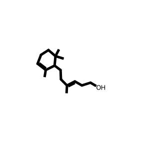 CC(=CCCO)CCC1C(C)=CCCC1(C)C